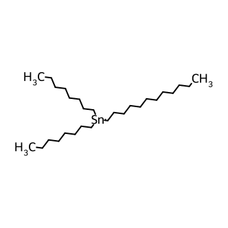 CCCCCCCCCCC[CH2][Sn]([CH2]CCCCCCC)[CH2]CCCCCCC